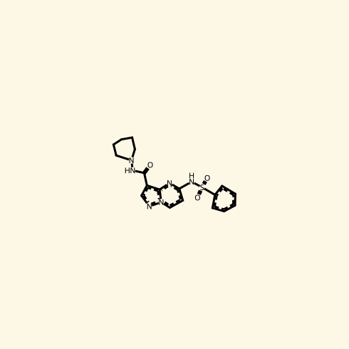 O=C(NN1CCCCC1)c1cnn2ccc(NS(=O)(=O)c3ccccc3)nc12